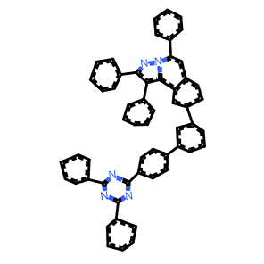 c1ccc(-c2nc(-c3ccccc3)nc(-c3ccc(-c4cccc(-c5ccc6cc(-c7ccccc7)n7nc(-c8ccccc8)c(-c8ccccc8)c7c6c5)c4)cc3)n2)cc1